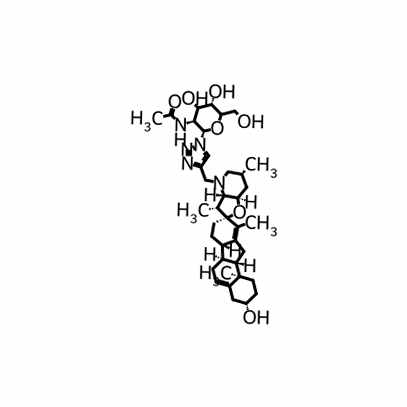 CC(=O)N[C@H]1C(O)[C@H](O)C(CO)O[C@H]1n1cc(CN2C[C@@H](C)C[C@H]3O[C@]4(CC[C@@H]5C(=C4C)C[C@H]4[C@H]5CC=C5C[C@@H](O)CC[C@@]54C)[C@H](C)[C@@H]32)nn1